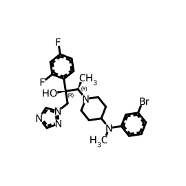 C[C@@H](N1CCC(N(C)c2cccc(Br)c2)CC1)[C@](O)(Cn1cncn1)c1ccc(F)cc1F